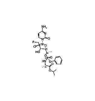 CC(C)OC(=O)[C@H](C)N[P@@](=O)(Oc1ccccc1)O[C@@H](C)[C@H]1O[C@@H](n2ccc(N)nc2=O)[C@@](Cl)(CF)C1O